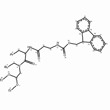 CCOC(CN(CC(C)CC)C(=O)C(CC(C)C)NC(=O)CCNC(=O)OCC1c2ccccc2-c2ccccc21)OCC